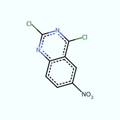 O=[N+]([O-])c1ccc2nc(Cl)nc(Cl)c2c1